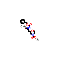 COC(=O)C(=CC1CN(C(=O)OC(C)(C)C)CCO1)NC(=O)OCc1ccccc1